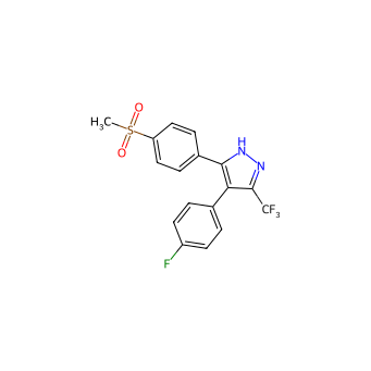 CS(=O)(=O)c1ccc(-c2[nH]nc(C(F)(F)F)c2-c2ccc(F)cc2)cc1